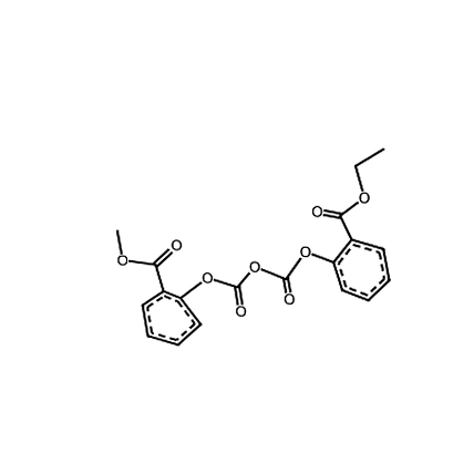 CCOC(=O)c1ccccc1OC(=O)OC(=O)Oc1ccccc1C(=O)OC